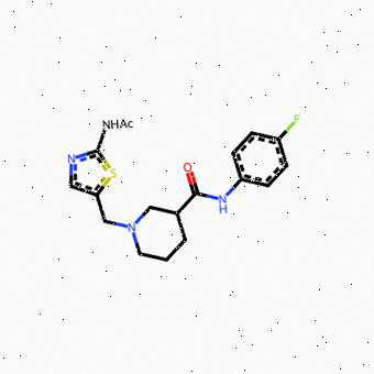 CC(=O)Nc1ncc(CN2CCCC(C(=O)Nc3ccc(F)cc3)C2)s1